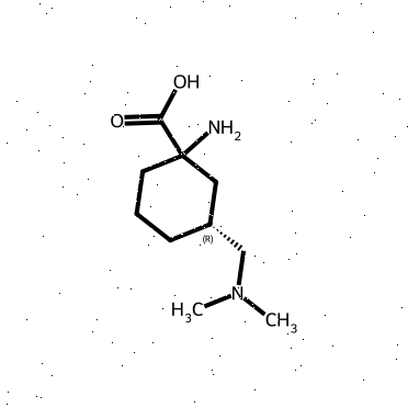 CN(C)C[C@@H]1CCCC(N)(C(=O)O)C1